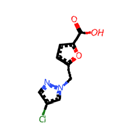 O=C(O)c1ccc(Cn2cc(Cl)cn2)o1